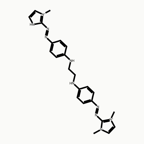 Cn1cc[n+](C)c1/N=N/c1ccc(NCCNc2ccc(/N=N/c3[nH]cc[n+]3C)cc2)cc1